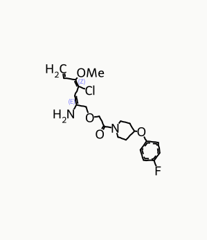 C=C/C(OC)=C(Cl)\C=C(\N)COCC(=O)N1CCC(Oc2ccc(F)cc2)CC1